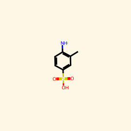 Cc1cc(S(=O)(=O)O)ccc1[NH]